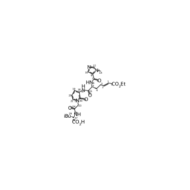 CCOC(=O)C=CCC[C@H](NC(=O)c1cncn1C)C(=O)Nc1cccn(CC(=O)N[C@H](C(=O)O)[C@H](C)CC)c1=O